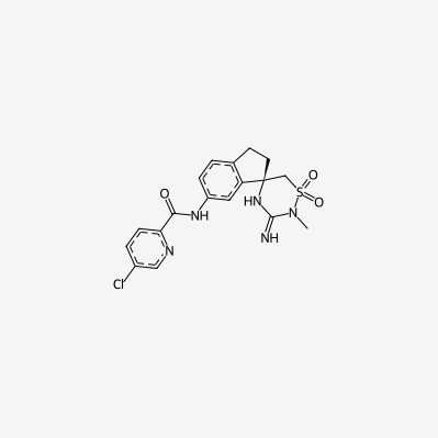 CN1C(=N)N[C@@]2(CCc3ccc(NC(=O)c4ccc(Cl)cn4)cc32)CS1(=O)=O